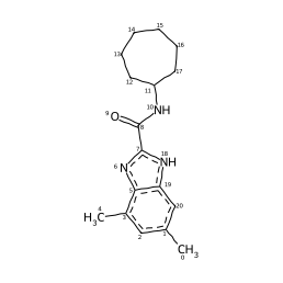 Cc1cc(C)c2nc(C(=O)NC3CCCCCC3)[nH]c2c1